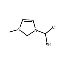 CCCC(Cl)N1C=CN(C)C1